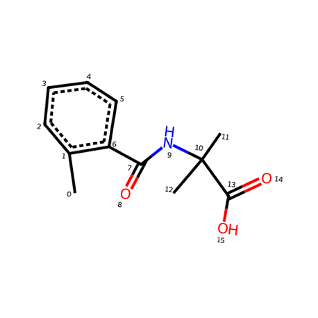 Cc1ccccc1C(=O)NC(C)(C)C(=O)O